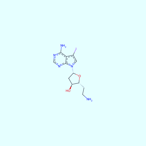 NCC[C@H]1O[C@@H](n2cc(I)c3c(N)ncnc32)C[C@@H]1O